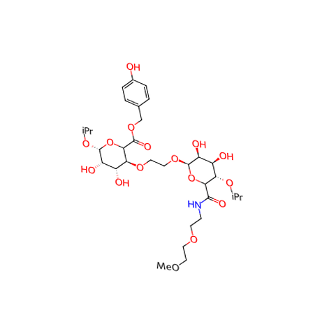 COCCOCCNC(=O)C1O[C@@H](OCCO[C@@H]2C(C(=O)OCc3ccc(O)cc3)O[C@@H](OC(C)C)[C@@H](O)[C@H]2O)[C@@H](O)[C@@H](O)[C@@H]1OC(C)C